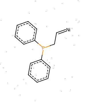 [Ni]=[CH]CP(c1ccccc1)c1ccccc1